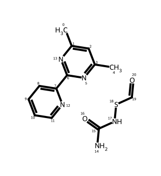 Cc1cc(C)nc(-c2ccccn2)n1.NC(=O)NSC=O